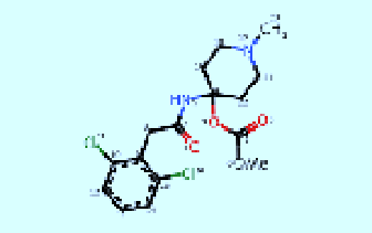 COC(=O)OC1(NC(=O)Cc2c(Cl)cccc2Cl)CCN(C)CC1